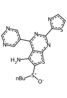 CCCC[S+]([O-])c1sc2nc(-c3nccs3)nc(-c3cncnc3)c2c1N